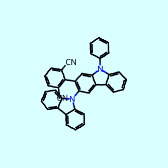 N#Cc1cccc(C#N)c1-c1cc2c(cc1-n1c3ccccc3c3ccccc31)c1ccccc1n2-c1ccccc1